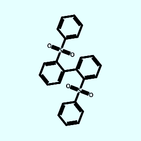 O=S(=O)(c1ccccc1)c1ccccc1-c1ccccc1S(=O)(=O)c1ccccc1